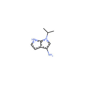 CC(C)n1cc(N)c2cc[nH]c21